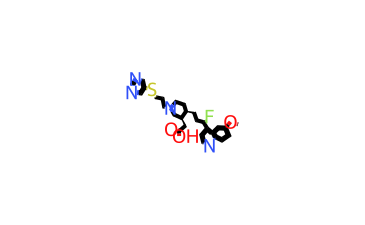 COc1ccc2nccc([C@@H](F)CC[C@@H]3CCN(CCCSc4cncnc4)C[C@@H]3CC(=O)O)c2c1